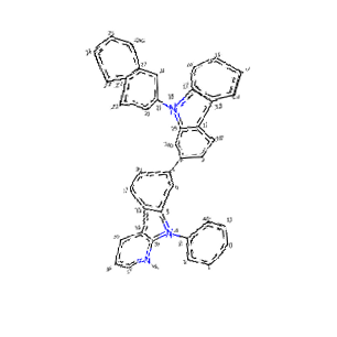 c1ccc(-n2c3cc(-c4ccc5c6ccccc6n(-c6ccc7ccccc7c6)c5c4)ccc3c3cccnc32)cc1